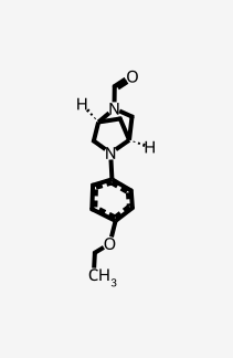 CCOc1ccc(N2C[C@@H]3C[C@H]2CN3C=O)cc1